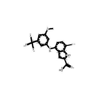 COc1cc(Nc2ccc(F)c3[nH]c(C(=O)O)cc23)cc(C(F)(F)F)c1